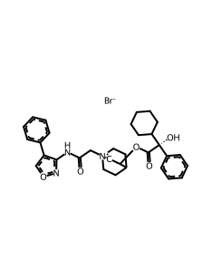 O=C(C[N+]12CCC(CC1)C(OC(=O)[C@](O)(c1ccccc1)C1CCCCC1)C2)Nc1nocc1-c1ccccc1.[Br-]